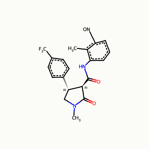 Cc1c(N=O)cccc1NC(=O)[C@H]1C(=O)N(C)C[C@@H]1c1ccc(C(F)(F)F)cc1